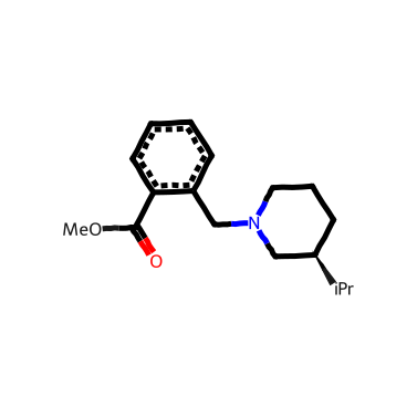 COC(=O)c1ccccc1CN1CCC[C@@H](C(C)C)C1